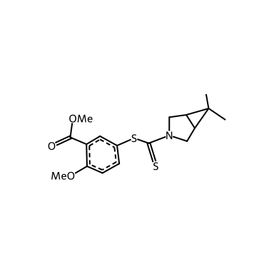 COC(=O)c1cc(SC(=S)N2CC3C(C2)C3(C)C)ccc1OC